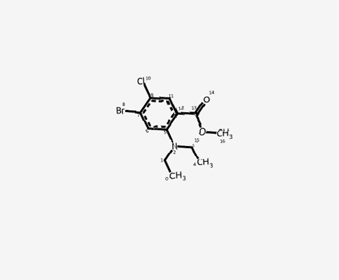 CCN(CC)c1cc(Br)c(Cl)cc1C(=O)OC